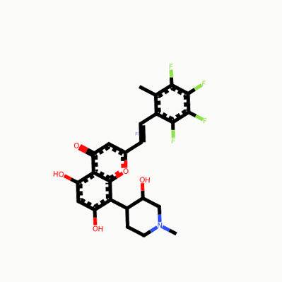 Cc1c(F)c(F)c(F)c(F)c1/C=C/c1cc(=O)c2c(O)cc(O)c(C3CCN(C)CC3O)c2o1